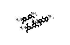 CCc1cc(Cc2cc(CC)c(N)c(CC)c2)cc(CC)c1N.CCc1cc(Cc2ccc(N)c(CC)c2)ccc1N.CCc1cc(N)ccc1Cc1ccc(N)cc1CC